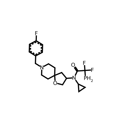 O=C(N(C1CC1)C1COC2(CCN(Cc3ccc(F)cc3)CC2)C1)C(F)(F)P